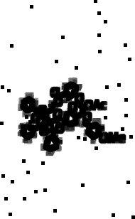 COc1ccc(COc2c(OC(C)=O)c(=O)oc3cc(O[C@@H]4O[C@H](COC(=O)c5ccccc5)[C@@H](OC(=O)c5ccccc5)[C@H](OC(=O)c5ccccc5)[C@H]4OC(=O)c4ccccc4)ccc23)cc1